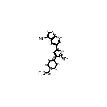 CC(C)n1nc(-c2cnc3[nH]cc(C#N)c3c2)cc1C1CCN(CC(F)(F)F)CC1